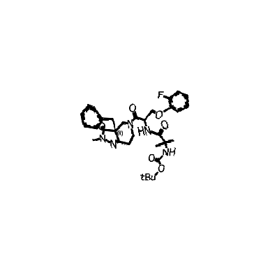 CN1N=C2CCN(C(=O)C(COc3ccccc3F)NC(=O)C(C)(C)NC(=O)OC(C)(C)C)C[C@@]2(Cc2ccccc2)C1=O